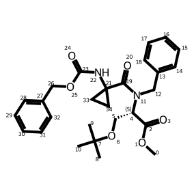 COC(=O)[C@H](COC(C)(C)C)N(Cc1ccccc1)C(=O)C1(NC(=O)OCc2ccccc2)CC1